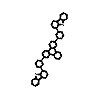 c1cc(-c2ccc3c4ccc(-c5cccc(-c6cccc7c6sc6ccccc67)c5)cc4c4ccccc4c3c2)cc(-c2cccc3c2sc2ccccc23)c1